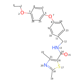 CCOc1ccc(Oc2ccc(CNC(=O)c3sc(C)nc3C)cc2)cc1